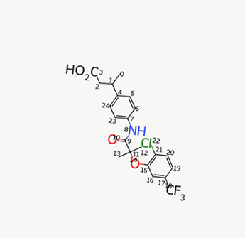 CC(CC(=O)O)c1ccc(NC(=O)C(C)(C)Oc2cc(C(F)(F)F)ccc2Cl)cc1